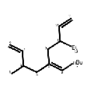 C=CC(C)CC(=CCCCC)CC(C=C)CC